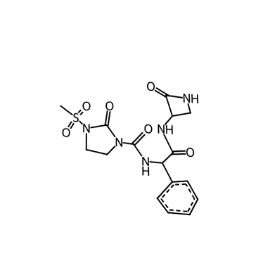 CS(=O)(=O)N1CCN(C(=O)NC(C(=O)NC2CNC2=O)c2ccccc2)C1=O